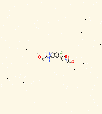 CCO[C@H]1C[C@@H]1C(=O)Nc1cc2cc(C3CCN([C@@]4(C)COC[C@H]4O)CC3)c(Cl)cc2cn1